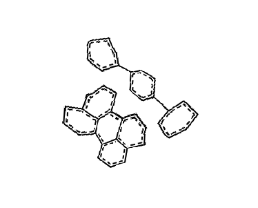 c1cc2cccc3c4cccc5cccc(c(c1)c23)c54.c1ccc(-c2ccc(-c3ccccc3)cc2)cc1